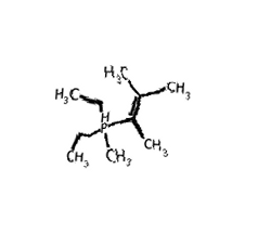 CC[PH](C)(CC)C(C)=C(C)C